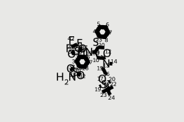 CC(Sc1ccccc1)[C@@H](CC(=O)N(C)CCO[Si](C)(C)C(C)(C)C)Nc1ccc(S(N)(=O)=O)cc1S(=O)(=O)C(F)(F)F